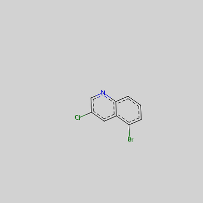 Clc1cnc2cccc(Br)c2c1